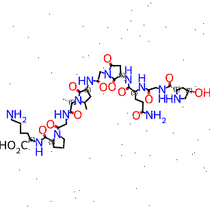 CC1C[C@H](NC(=O)CN2C(=O)C[C@H](NC(=O)[C@H](CCC(N)=O)NC(=O)CNC(=O)[C@@H]3C[C@@H](O)CN3)C2=O)C(=O)N1[C@@H](C)C(=O)NCC(=O)N1CCC[C@H]1C(=O)N[C@@H](CCCCN)C(=O)O